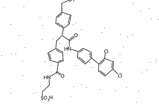 CC(C)Cc1ccc(C(Cc2ccc(C(=O)NCCS(=O)(=O)O)cc2)C(=O)Nc2ccc(-c3ccc(Cl)cc3Cl)cc2)cc1